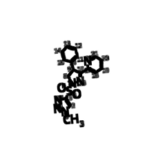 Cn1cc(S(=O)(=O)N2CC(c3ccccc3)C(c3ccccn3)=N2)nn1